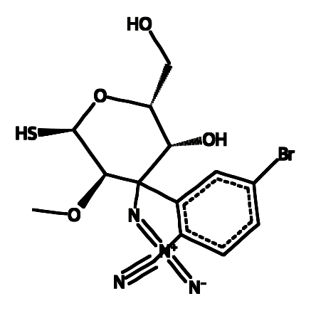 CO[C@H]1[C@@H](S)O[C@H](CO)[C@H](O)C1(N=[N+]=[N-])c1cc(Br)ccc1C#N